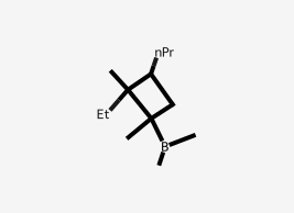 CCCC1CC(C)(B(C)C)C1(C)CC